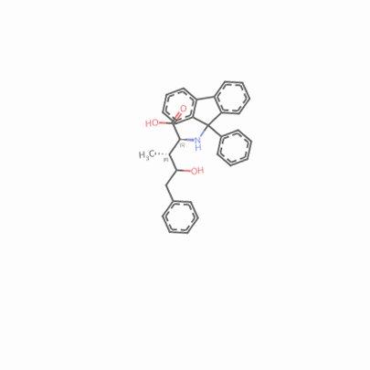 C[C@@H](C(O)Cc1ccccc1)[C@H](NC1(c2ccccc2)c2ccccc2-c2ccccc21)C(=O)O